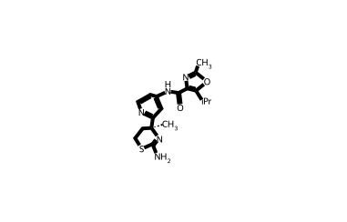 Cc1nc(C(=O)Nc2ccnc([C@]3(C)CCSC(N)=N3)c2)c(C(C)C)o1